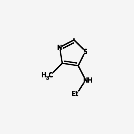 CCNc1s[c]nc1C